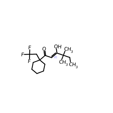 CCC(C)(C)/C(O)=C/C(=O)C1(CC(F)(F)F)CCCCC1